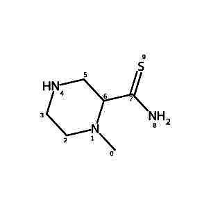 CN1CCNCC1C(N)=S